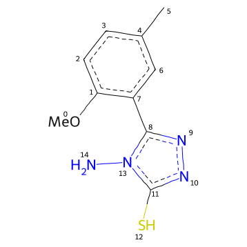 COc1ccc(C)cc1-c1nnc(S)n1N